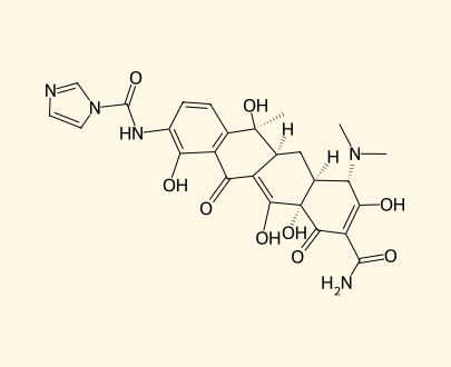 CN(C)[C@@H]1C(O)=C(C(N)=O)C(=O)[C@@]2(O)C(O)=C3C(=O)c4c(ccc(NC(=O)n5ccnc5)c4O)[C@@](C)(O)[C@H]3C[C@@H]12